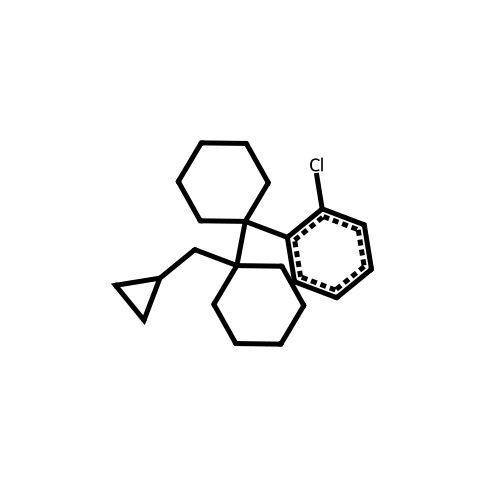 Clc1ccccc1C1(C2(CC3CC3)CCCCC2)CCCCC1